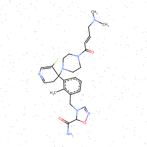 Cc1c(CN2C=NOC2C(N)=O)cccc1C1(N2CCN(C(=O)C=CCN(C)C)CC2)CC=NC=C1F